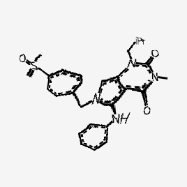 C=S(C)(=O)c1ccc(Cn2cc3c(c2Nc2ccccc2)c(=O)n(C)c(=O)n3CC(C)C)cc1